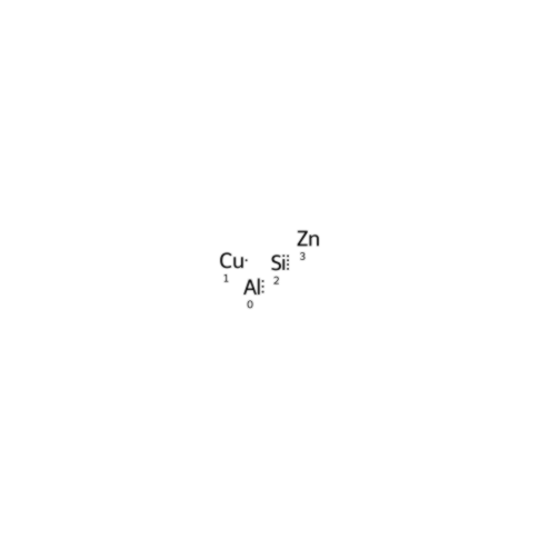 [Al].[Cu].[Si].[Zn]